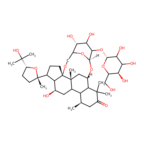 C[C@@H]1CC(=O)C(C)(C)C2C1C1C[C@@H](O)C3C([C@]4(C)CC[C@H](C(C)(C)O)O4)CC[C@]34OCC3O[C@H](O[C@H]2C[C@]14C)C(O[C@H]1OC(CO)[C@H](O)C(O)C1O)C(O)[C@H]3O